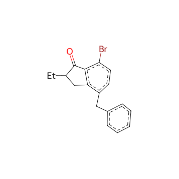 CCC1Cc2c(Cc3ccccc3)ccc(Br)c2C1=O